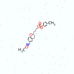 CCO/N=C/c1ccc2c(c1)CCC(CCCCOS(=O)(=O)c1ccc(C)cc1)O2